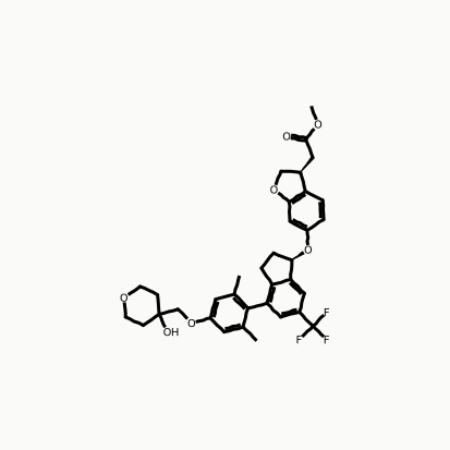 COC(=O)C[C@@H]1COc2cc(O[C@@H]3CCc4c(-c5c(C)cc(OCC6(O)CCOCC6)cc5C)cc(C(F)(F)F)cc43)ccc21